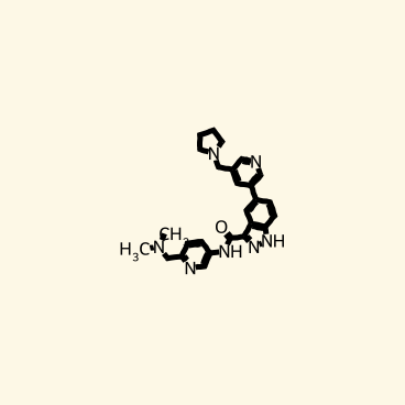 CN(C)Cc1ccc(NC(=O)c2n[nH]c3ccc(-c4cncc(CN5CCCC5)c4)cc23)cn1